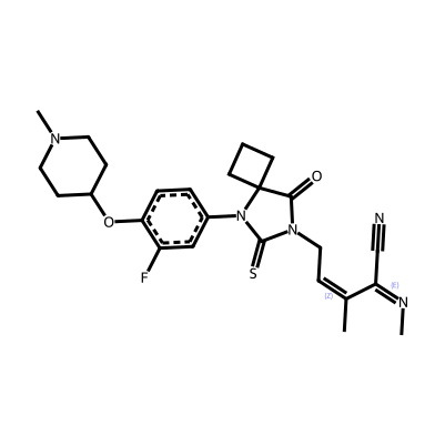 C/N=C(C#N)\C(C)=C/CN1C(=O)C2(CCC2)N(c2ccc(OC3CCN(C)CC3)c(F)c2)C1=S